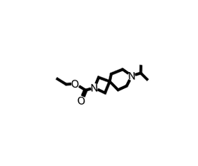 CCOC(=O)N1CC2(CCN(C(C)C)CC2)C1